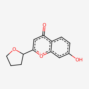 O=c1cc(C2CCCO2)oc2cc(O)ccc12